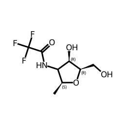 C[C@@H]1O[C@H](CO)[C@H](O)C1NC(=O)C(F)(F)F